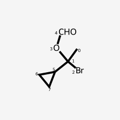 CC(Br)(OC=O)C1CC1